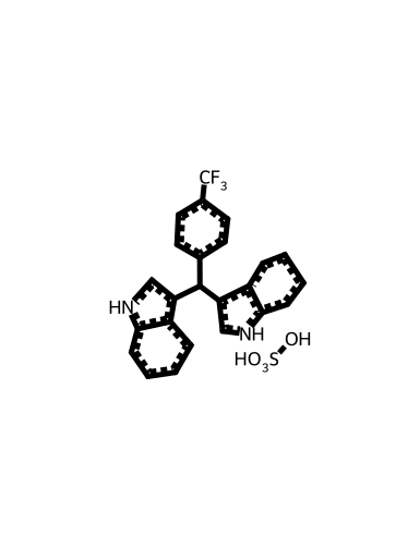 FC(F)(F)c1ccc(C(c2c[nH]c3ccccc23)c2c[nH]c3ccccc23)cc1.O=S(=O)(O)O